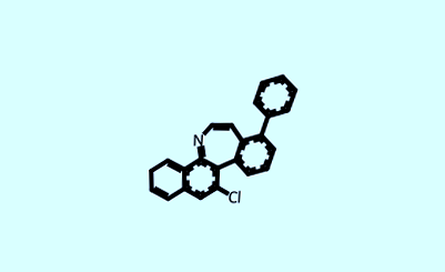 Clc1cc2c(c3c1-c1cccc(-c4ccccc4)c1C=CN=3)=CCC=C2